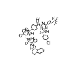 O=C(NCC1CCCc2ccccc21)C(=O)NC[C@@H](NC(=O)c1ccc(Nc2nc(NC3(c4ccc(Cl)cc4)CC3)nc(OCC(F)(F)F)n2)cc1)C(=O)O